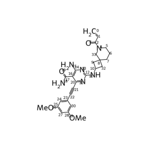 C=CC(=O)N1CCCC2(CC(Nc3nc(N)c(C(N)=O)c(C#Cc4cc(OC)cc(OC)c4)n3)C2)C1